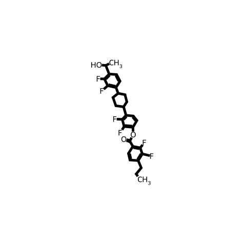 CCCc1ccc(C(=O)Oc2ccc(C3CCC(c4ccc(C(C)O)c(F)c4F)CC3)c(F)c2F)c(F)c1F